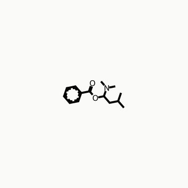 CC(C)CC(OC(=O)c1ccccc1)N(C)C